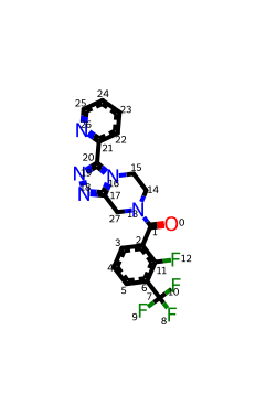 O=C(c1cccc(C(F)(F)F)c1F)N1CCn2c(nnc2-c2ccccn2)C1